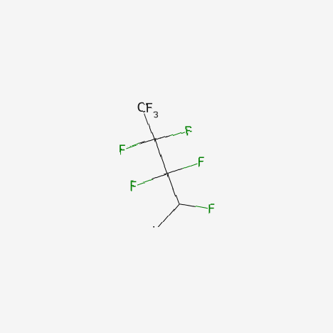 [CH2]C(F)C(F)(F)C(F)(F)C(F)(F)F